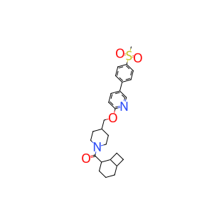 CS(=O)(=O)c1ccc(-c2ccc(OCC3CCN(C(=O)C4CCCC5CCC54)CC3)nc2)cc1